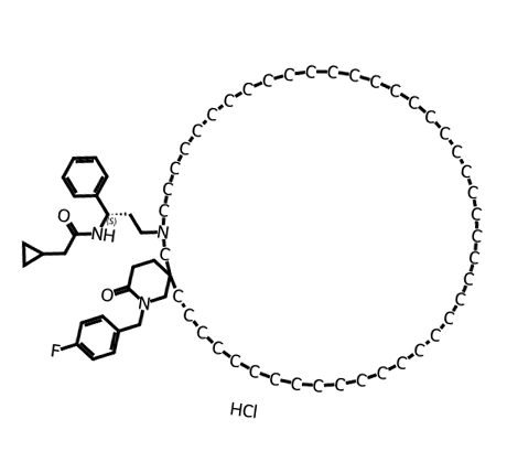 Cl.O=C(CC1CC1)N[C@@H](CCN1CCCCCCCCCCCCCCCCCCCCCCCCCCCCCCCCCCCCCCCCCCC2(CCC(=O)N(Cc3ccc(F)cc3)C2)C1)c1ccccc1